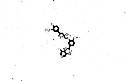 COc1ccc(C(=O)Nc2c(Cl)cncc2Cl)cc1OCC1(C)CC(c2ccc(F)c(C)c2)=NO1